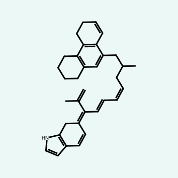 C=C(C)/C(C=C/C=C\CC(C)Cc1cc2c(c3c1C=CCC3)CCCC2)=C1/C=Cc2cc[nH]c2C1